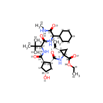 C=C[C@@H]1C[C@]1(NC(=O)[C@@H]1C[C@H](O)C[C@H]1C(=O)N[C@H](C(=O)NC(C(=O)NC)C1CCCCC1)C(C)(C)C)C(=O)OCC